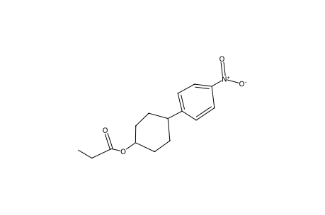 CCC(=O)OC1CCC(c2ccc([N+](=O)[O-])cc2)CC1